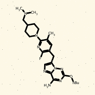 CCCCOc1nc(N)c2ncc(Cc3cc(C)c(N4CCC(CN(C)C)CC4)nc3F)n2n1